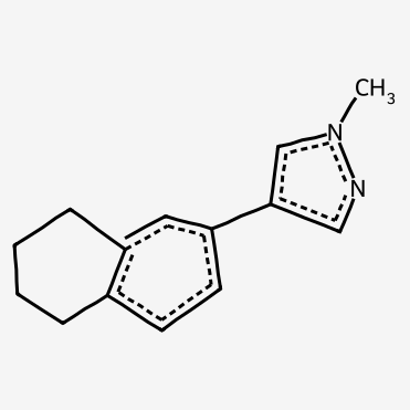 Cn1cc(-c2ccc3c(c2)CCCC3)cn1